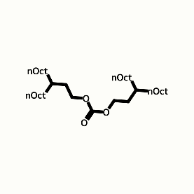 CCCCCCCCC(CCCCCCCC)CCOC(=O)OCCC(CCCCCCCC)CCCCCCCC